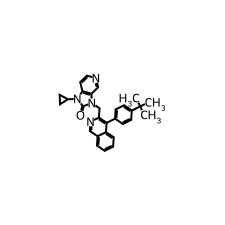 CC(C)(C)c1ccc(-c2c(Cn3c(=O)n(C4CC4)c4ccncc43)ncc3ccccc23)cc1